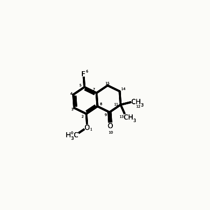 COc1ccc(F)c2c1C(=O)C(C)(C)CC2